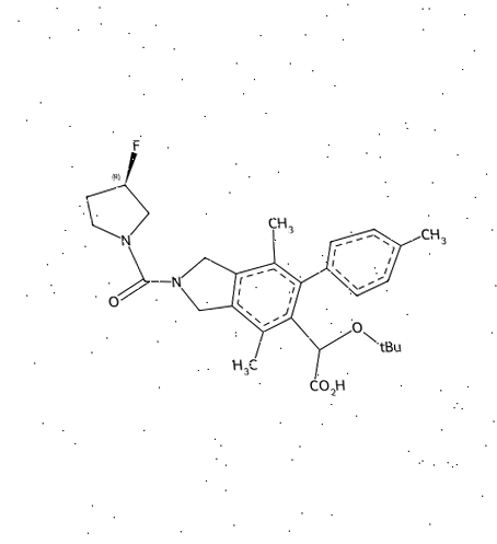 Cc1ccc(-c2c(C)c3c(c(C)c2C(OC(C)(C)C)C(=O)O)CN(C(=O)N2CC[C@@H](F)C2)C3)cc1